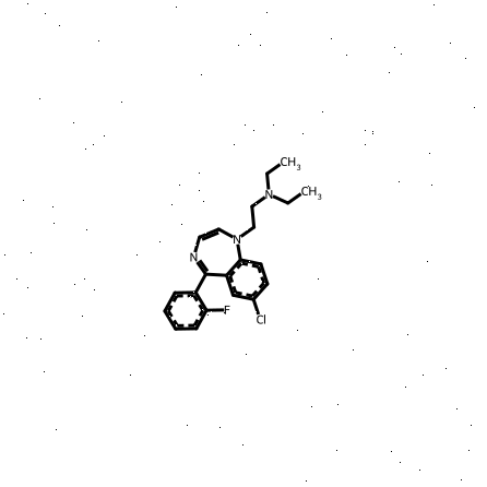 CCN(CC)CCN1C=CN=C(c2ccccc2F)c2cc(Cl)ccc21